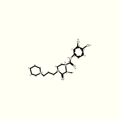 C[C@H]1C(=O)N(CCCN2CCCCC2)CCN1C(=O)Oc1ccc(Cl)c(Cl)c1